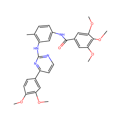 COc1ccc(-c2ccnc(Nc3cc(NC(=O)c4cc(OC)c(OC)c(OC)c4)ccc3C)n2)cc1OC